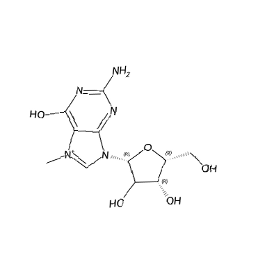 C[n+]1cn([C@@H]2O[C@H](CO)[C@H](O)C2O)c2nc(N)nc(O)c21